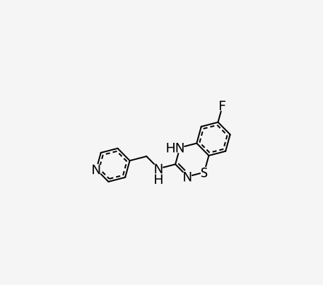 Fc1ccc2c(c1)NC(NCc1ccncc1)=NS2